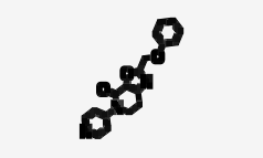 O=C1c2oc(COc3ccccc3)nc2CCN1c1ccncc1